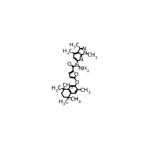 Cc1cc2c(cc1Oc1ccc(C(=O)N(N)c3cc(C)c4c(C)nn(C)c4n3)o1)C(C)(C)CCC2(C)C